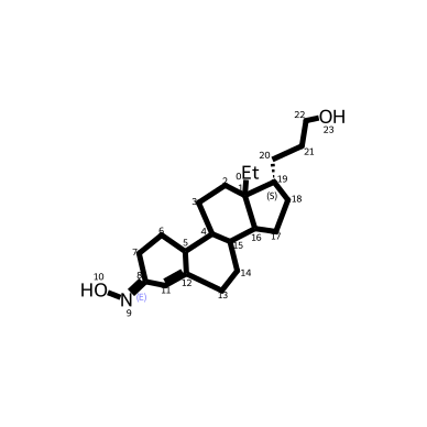 CCC12CCC3C4CC/C(=N\O)C=C4CCC3C1CC[C@H]2CCCO